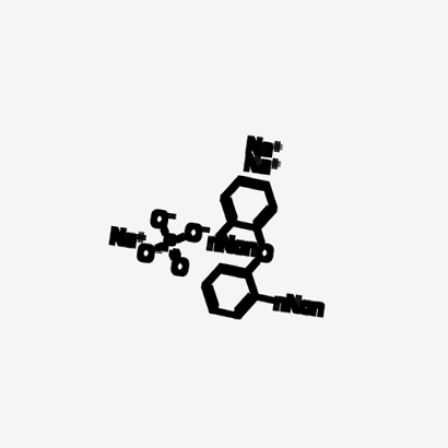 CCCCCCCCCc1ccccc1Oc1ccccc1CCCCCCCCC.O=P([O-])([O-])[O-].[Na+].[Na+].[Na+]